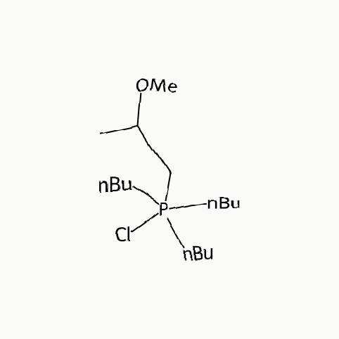 CCCCP(Cl)(CCCC)(CCCC)CC(C)OC